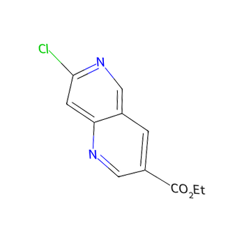 CCOC(=O)c1cnc2cc(Cl)ncc2c1